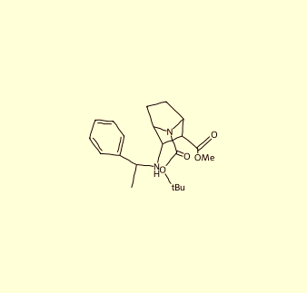 COC(=O)C1C(NC(C)c2ccccc2)C2CCC1N2C(=O)OC(C)(C)C